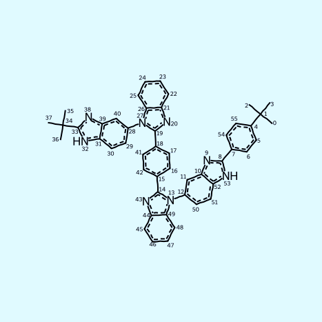 CC(C)(C)c1ccc(-c2nc3cc(-n4c(-c5ccc(-c6nc7ccccc7n6-c6ccc7[nH]c(C(C)(C)C)nc7c6)cc5)nc5ccccc54)ccc3[nH]2)cc1